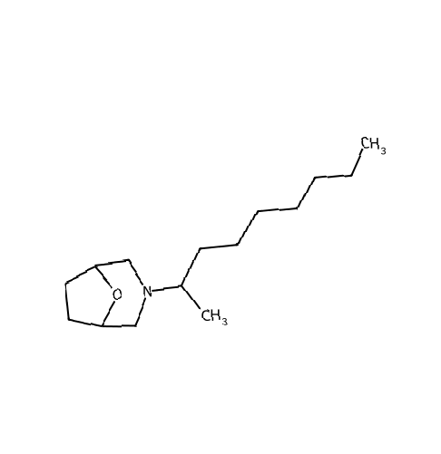 CCCCCCCC(C)N1CC2CCC(C1)O2